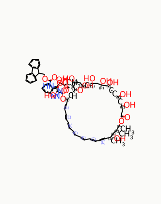 CC1OC(O[C@H]2/C=C/C=C/C=C/C=C/C=C/C=C/C=C/[C@H](C)[C@@H](O)[C@@H](C)[C@H](C)OC(=O)C[C@H](O)C[C@H](O)CC[C@@H](O)[C@H](O)C[C@H](O)C[C@]3(O)C[C@H](O)[C@@H](C(=O)On4nnc5ccccc5c4=O)[C@H](C2)O3)C(O)C(NC(=O)OCC2c3ccccc3-c3ccccc32)C1O